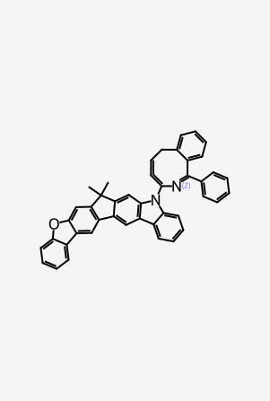 CC1(C)c2cc3oc4ccccc4c3cc2-c2cc3c4ccccc4n(C4=C=CCc5ccccc5/C(c5ccccc5)=N\4)c3cc21